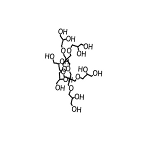 OCC(O)COCC(COCC(O)CO)(COCC(O)CO)COCC(COCC(O)CO)(COCC(O)CO)COCC(O)CO